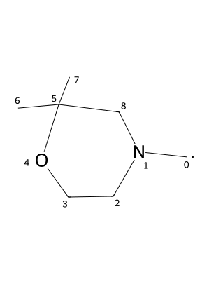 [CH2]N1CCOC(C)(C)C1